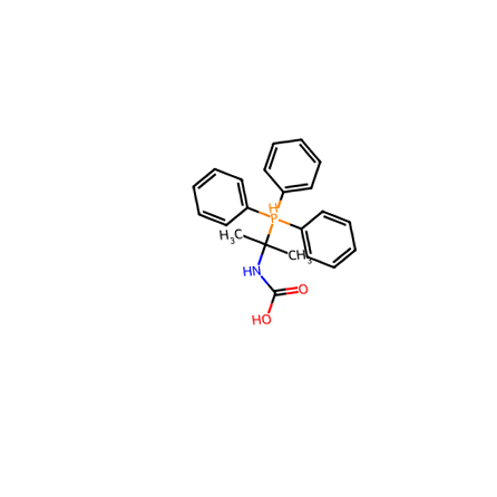 CC(C)(NC(=O)O)[PH](c1ccccc1)(c1ccccc1)c1ccccc1